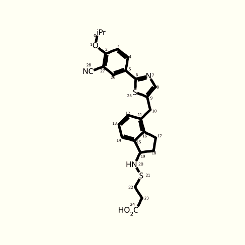 CC(C)Oc1ccc(-c2ncc(Cc3cccc4c3CCC4NSCCC(=O)O)s2)cc1C#N